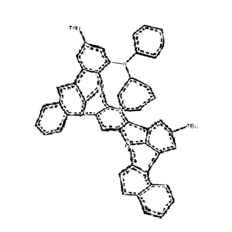 CC(C)(C)c1cc(N(c2ccccc2)c2ccccc2)c2c(c1)c1cc3ccccc3c3c4cc5c(nc4n2c13)c1cc(C(C)(C)C)cc2c3c4ccccc4ccc3n5c12